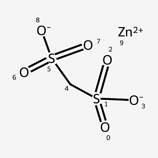 O=S(=O)([O-])CS(=O)(=O)[O-].[Zn+2]